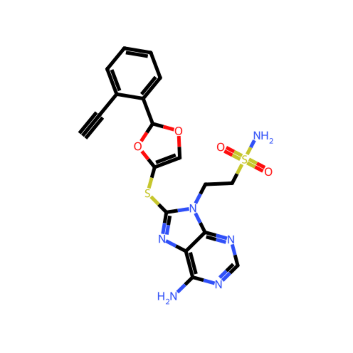 C#Cc1ccccc1C1OC=C(Sc2nc3c(N)ncnc3n2CCS(N)(=O)=O)O1